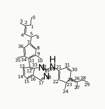 CC/C(C)=C\C(C)c1cc(C)c(-c2cccc3cnc(NC4=CC(C)/C(=C(\C)CC)C=C4)nc23)c(C)c1